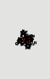 Cn1nnc(COc2ccc(Cl)c3c2[C@@H](CN2CC4(CC4)CC2=O)N(C(=O)[C@@H]2CCCC[C@]2(C)C(=O)O)CC3)c1CO[Si](c1ccccc1)(c1ccccc1)C(C)(C)C